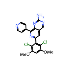 COc1cc(OC)c(Cl)c(-c2cc3cnc(N)nc3c(-c3ccncc3)n2)c1Cl